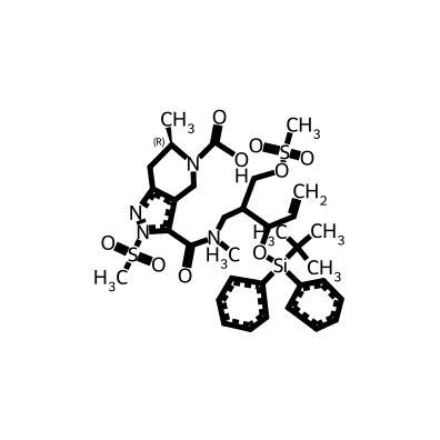 C=CC(O[Si](c1ccccc1)(c1ccccc1)C(C)(C)C)C(COS(C)(=O)=O)CN(C)C(=O)c1c2c(nn1S(C)(=O)=O)C[C@@H](C)N(C(=O)O)C2